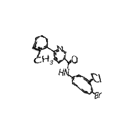 Cc1ccccc1-c1ccc(C(=O)Nc2ccc(Br)c(Cl)c2)cn1